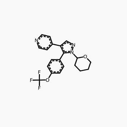 FC(F)(F)Oc1ccc(-c2c(-c3ccncc3)cnn2C2CCCCO2)cc1